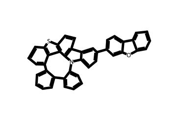 c1ccc2c(c1)oc1cc(-c3ccc4c(c3)c3ccc5sc6cccc7c8ccccc8c8ccccc8n4c3c5c67)ccc12